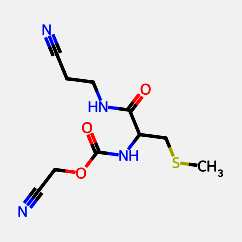 CSCC(NC(=O)OCC#N)C(=O)NCCC#N